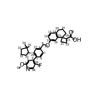 COc1cc(-c2ccc(COc3ccc4c(c3)C3(CCC4)CCC3C(=O)O)cc2[C@@H]2CCCC2(C)C)c(F)cn1